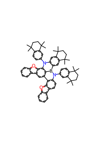 CC1(C)CCC(C)(C)c2cc(N3B4c5cc6c(cc5N(c5ccc7c(c5)C(C)(C)CCC7(C)C)c5c4c(cc4c5oc5ccccc54)-c4c3ccc3c4oc4ccccc43)C(C)(C)CCC6(C)C)ccc21